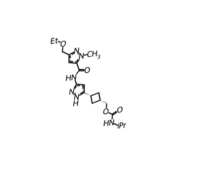 CCOCc1cc(C(=O)Nc2cc([C@H]3C[C@@H](COC(=O)NC(C)C)C3)[nH]n2)n(C)n1